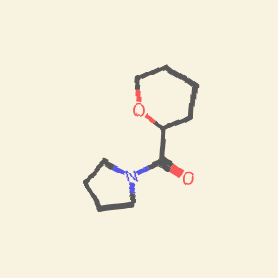 O=C(C1CCCCO1)N1CCCC1